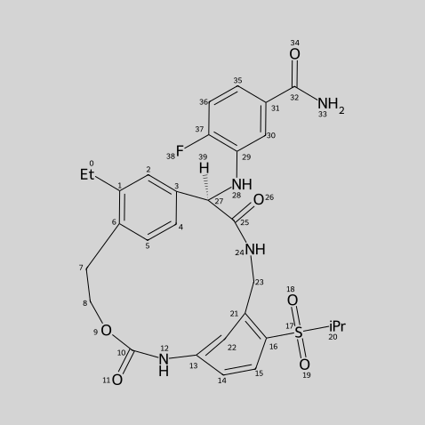 CCc1cc2ccc1CCOC(=O)Nc1ccc(S(=O)(=O)C(C)C)c(c1)CNC(=O)[C@@H]2Nc1cc(C(N)=O)ccc1F